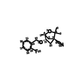 CC1(C)O[C@]2(C)C[C@@]1(C#N)C[C@@H]2OCc1ccccc1F